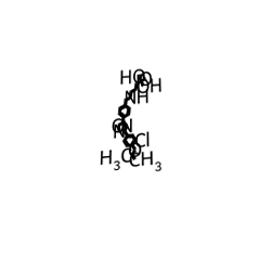 CC(C)Oc1ccc(-c2noc(-c3ccc(CNCCCP(=O)(O)O)cc3)n2)cc1Cl